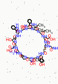 CCCC[C@H]1C(=O)N(C)[C@@H](CCCC)C(=O)N[C@@H](CCC(=O)O)C(=O)N[C@H](C(=O)NCC(N)=O)CSCC(=O)N[C@@H](Cc2ccc(O)cc2)C(=O)N(C)[C@@H](C)C(=O)N[C@@H](CC(=O)O)C(=O)N2CCC[C@H]2C(=O)N[C@@H](CN)C(=O)N[C@@H](CCC(=O)O)C(=O)N2C[C@H](O)C[C@H]2C(=O)N[C@@H](Cc2c[nH]c3ccccc23)C(=O)N[C@@H](CO)C(=O)N[C@@H](Cc2c[nH]c3ccccc23)C(=O)N1C